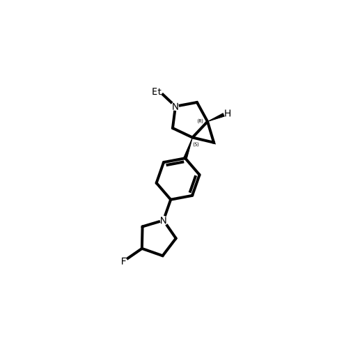 CCN1C[C@@H]2C[C@]2(C2=CCC(N3CCC(F)C3)C=C2)C1